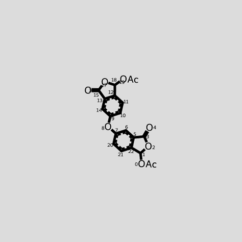 CC(=O)OC1OC(=O)c2cc(Oc3ccc4c(c3)C(=O)OC4OC(C)=O)ccc21